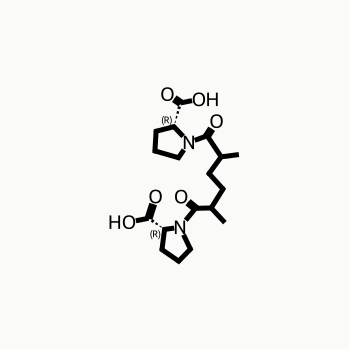 CC(CCC(C)C(=O)N1CCC[C@@H]1C(=O)O)C(=O)N1CCC[C@@H]1C(=O)O